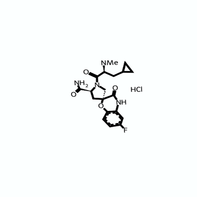 CN[C@@H](CC1CC1)C(=O)N1C[C@@]2(C[C@H]1C(N)=O)Oc1ccc(F)cc1NC2=O.Cl